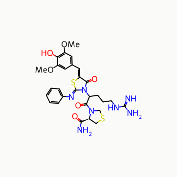 COc1cc(/C=C2\S/C(=N\c3ccccc3)N(C(CCCNC(=N)N)C(=O)N3CSC[C@H]3C(N)=O)C2=O)cc(OC)c1O